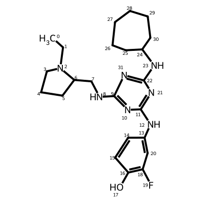 CCN1CCCC1CNc1nc(Nc2ccc(O)c(F)c2)nc(NC2CCCCCC2)n1